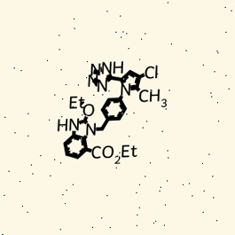 CCOC(=O)c1cccc2c1N(Cc1ccc(-n3c(-c4nnn[nH]4)cc(Cl)c3C)cc1)C(OCC)N2